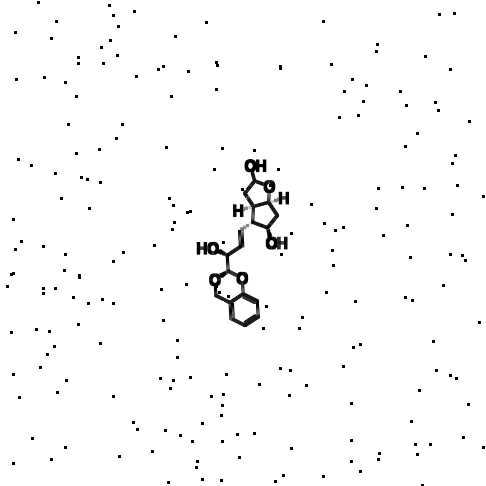 OC1C[C@@H]2[C@@H](/C=C/[C@H](O)[C@@H]3OCc4ccccc4O3)[C@H](O)C[C@@H]2O1